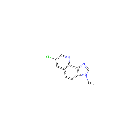 Cn1cnc2c3ncc(Cl)cc3ccc21